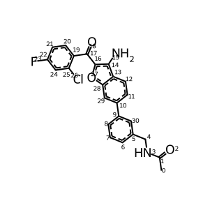 CC(=O)NCc1cccc(-c2ccc3c(N)c(C(=O)c4ccc(F)cc4Cl)oc3c2)c1